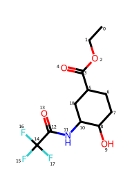 CCOC(=O)C1CCC(O)C(NC(=O)C(F)(F)F)C1